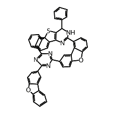 c1ccc(-c2nc(-c3ccc4oc5ccccc5c4c3)nc(-c3ccc4oc5cccc(C6=Nc7c(sc8ccccc78)C(c7ccccc7)N6)c5c4c3)n2)cc1